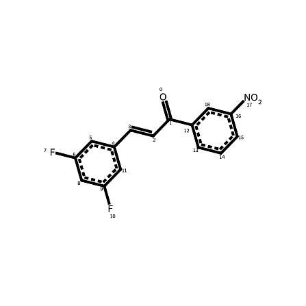 O=C(C=Cc1cc(F)cc(F)c1)c1cccc([N+](=O)[O-])c1